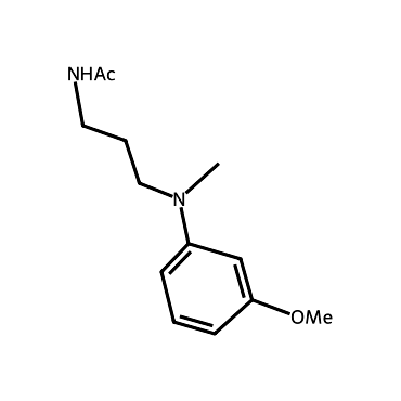 COc1cccc(N(C)CCCNC(C)=O)c1